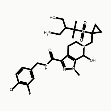 Cn1nc(C(=O)NCc2ccc(Cl)c(F)c2)c2c1C(O)N(CC1(S(=O)(=O)C(C)(C)C(CO)C[SiH3])CC1)CC2